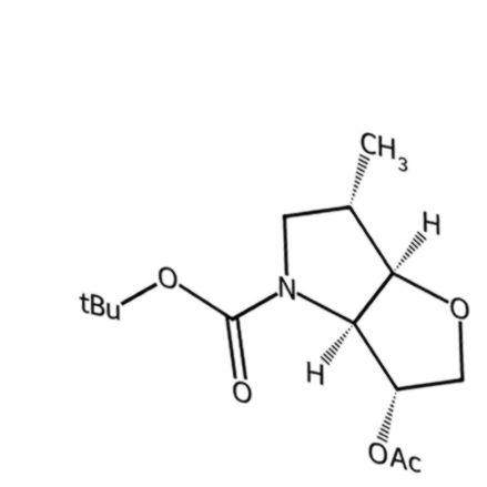 CC(=O)O[C@H]1CO[C@H]2[C@@H]1N(C(=O)OC(C)(C)C)C[C@@H]2C